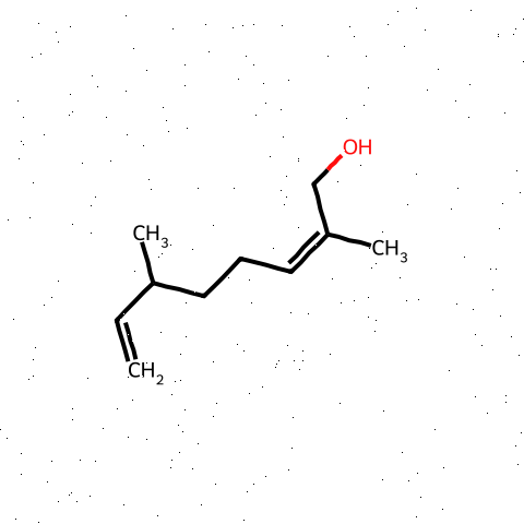 C=CC(C)CCC=C(C)CO